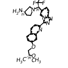 CO[C@H](C)COc1ccc2ccc(-c3nnc4ccc([C@@H](N5CC[C@H](N)C5)C(F)(F)F)cn34)nc2c1